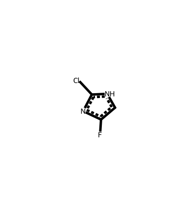 Fc1c[nH]c(Cl)n1